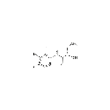 CCC(C)C(=O)Nc1ccc(F)[c]([Ti])c1F